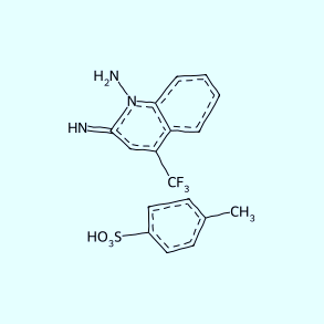 Cc1ccc(S(=O)(=O)O)cc1.N=c1cc(C(F)(F)F)c2ccccc2n1N